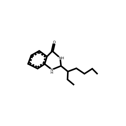 CCCCC(CC)C1NC(=O)c2ccccc2N1